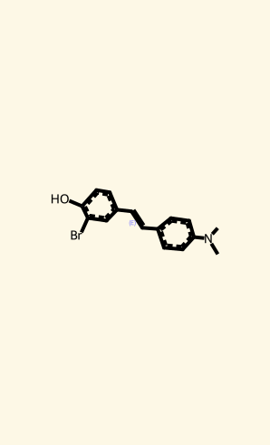 CN(C)c1ccc(/C=C/c2ccc(O)c(Br)c2)cc1